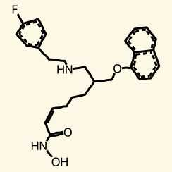 O=C(/C=C\CCCC(CNCCc1ccc(F)cc1)COc1cccc2ccccc12)NO